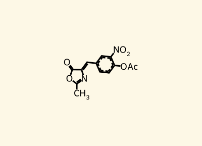 CC(=O)Oc1ccc(/C=C2\N=C(C)OC2=O)cc1[N+](=O)[O-]